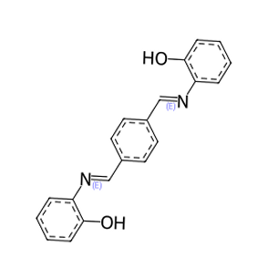 Oc1ccccc1/N=C/c1ccc(/C=N/c2ccccc2O)cc1